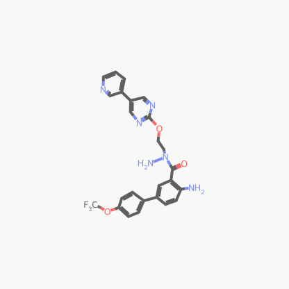 Nc1ccc(-c2ccc(OC(F)(F)F)cc2)cc1C(=O)N(N)CCOc1ncc(-c2cccnc2)cn1